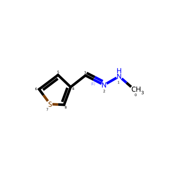 CN/N=C/c1ccsc1